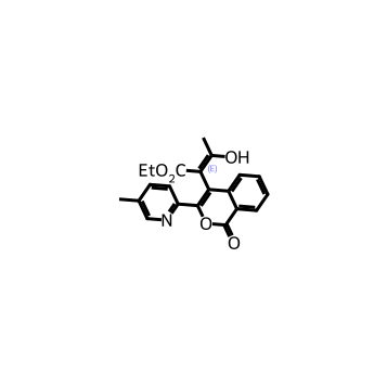 CCOC(=O)/C(=C(\C)O)c1c(-c2ccc(C)cn2)oc(=O)c2ccccc12